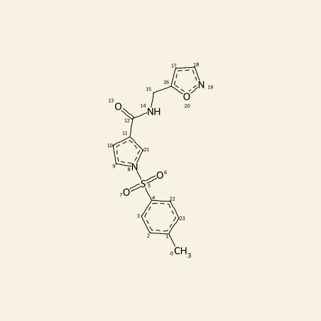 Cc1ccc(S(=O)(=O)n2ccc(C(=O)NCc3ccno3)c2)cc1